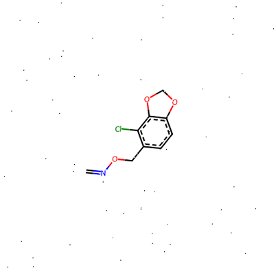 C=NOCc1ccc2c(c1Cl)OCO2